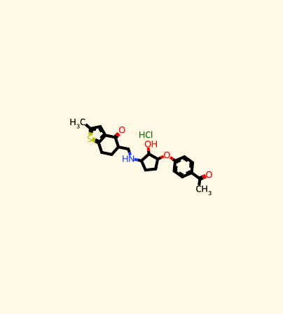 CC(=O)c1ccc(OC2CCC(NCC3CCc4sc(C)cc4C3=O)C2O)cc1.Cl